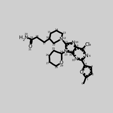 Cc1ccc(-c2nc(Cl)c3nc(N4CCCC(CCC(N)=O)C4)n(C4CCCCO4)c3n2)o1